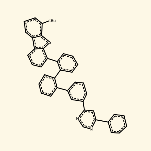 CC(C)(C)c1cccc2c1sc1c(-c3ccccc3-c3ccccc3-c3cccc(-c4cc(-c5ccccc5)ncn4)c3)cccc12